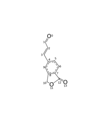 O=CC=Cc1ccc2c(c1)COC2=O